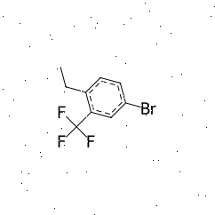 CCc1ccc(Br)cc1C(F)(F)F